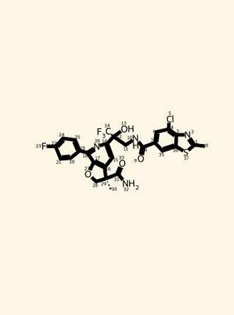 Cc1nc2c(Cl)cc(C(=O)NC[C@](O)(c3cc4c(c(-c5ccc(F)cc5)n3)OC[C@]4(C)C(N)=O)C(F)(F)F)cc2s1